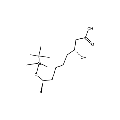 C[C@H](CCCC[C@@H](O)CC(=O)O)O[Si](C)(C)C(C)(C)C